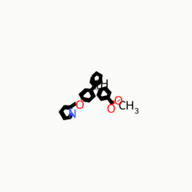 COC(=O)c1ccc([C@]2(c3ccc(OCc4ccccn4)cc3)CC3CC[C@@H]2C3)cc1